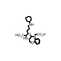 O=C(O)CN1C(=O)[C@@H](NC(CCCCNC2CCCCC2)C(=O)O)COc2ccccc21